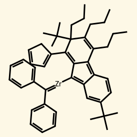 CCCC1=C(CCC)C(CCC)(C(C)(C)C)C(C2=CC=CC2)=C2[C]([Zr]=[C](c3ccccc3)c3ccccc3)=c3cc(C(C)(C)C)ccc3=C12